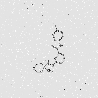 CC1(NSc2cccc(C(=O)Nc3ccc(F)cc3)c2)CCOCC1